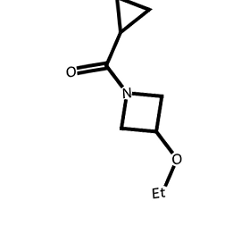 CCOC1CN(C(=O)C2CC2)C1